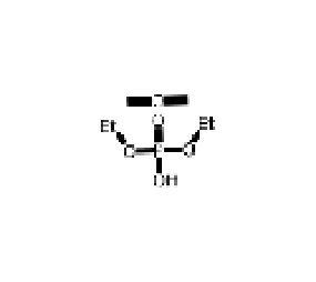 C=C=C.CCOP(=O)(O)OCC